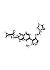 Cn1ncc(OC[C@H]2CCCN2)c1-c1ccn2nc(NC(=O)C3CC3)cc2c1